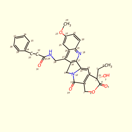 CC[C@@]1(O)C(=O)OCc2c1cc1n(c2=O)Cc2c-1nc1ccc(OC)cc1c2CNC(=O)CCc1ccccc1